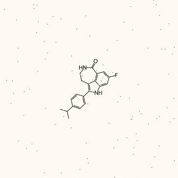 CC(C)c1ccc(-c2[nH]c3cc(F)cc4c3c2CCNC4=O)cc1